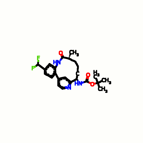 C[C@@H]1CCC[C@H](NC(=O)OC(C)(C)C)c2cc(ccn2)-c2ccc(C(F)F)cc2NC1=O